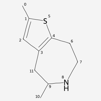 Cc1cc2c(s1)CCNC(C)C2